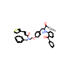 COC(=O)C(Cc1ccc(OCCN(Cc2ccccc2)C(=O)C=Cc2ccsc2)cc1)Nc1ccccc1C(=O)c1ccccc1